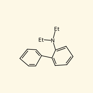 CCN(CC)c1ccccc1-c1ccccc1